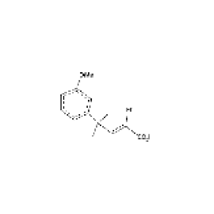 CC/C(=C\C(C)(C)c1cccc(OC)c1)C(=O)O